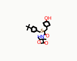 CC1OCC(=O)C1(C)NC(=O)C(Cc1ccc(O)cc1)SCc1ccc(C(C)(C)C)cc1